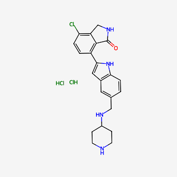 Cl.Cl.O=C1NCc2c(Cl)ccc(-c3cc4cc(CNC5CCNCC5)ccc4[nH]3)c21